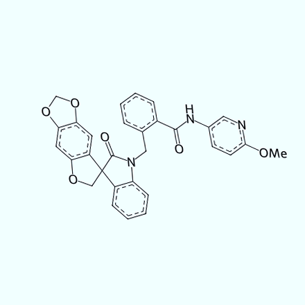 COc1ccc(NC(=O)c2ccccc2CN2C(=O)C3(COc4cc5c(cc43)OCO5)c3ccccc32)cn1